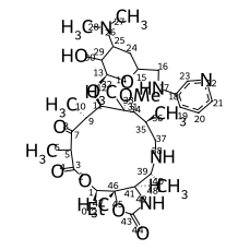 CC[C@H]1OC(=O)C(C)C(=O)[C@H](C)[C@@H](O[C@@H]2OC(CNc3cccnc3)CC(N(C)C)C2O)[C@](C)(OC)C[C@@H](C)CN[C@H](C)[C@H]2NC(=O)O[C@@]21C